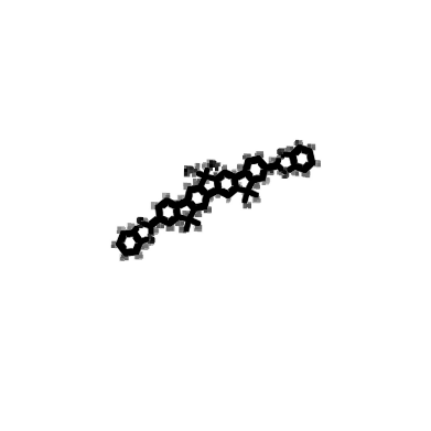 CC(C)C1(C(C)C)c2cc3c(cc2=c2cc4c(cc21)=c1ccc(=C2Sc5ccccc5S2)cc1C4(C)C)C(C)(C)c1cc(=C2Sc4ccccc4S2)ccc1=3